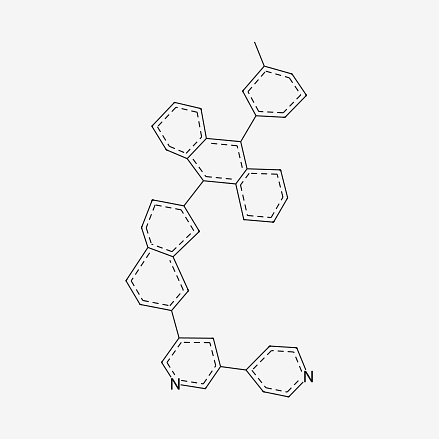 Cc1cccc(-c2c3ccccc3c(-c3ccc4ccc(-c5cncc(-c6ccncc6)c5)cc4c3)c3ccccc23)c1